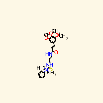 COc1cc(/C=C/C(=O)NCCCNC(=S)[N+](C)(C)c2ccccc2)cc(OC)c1OC